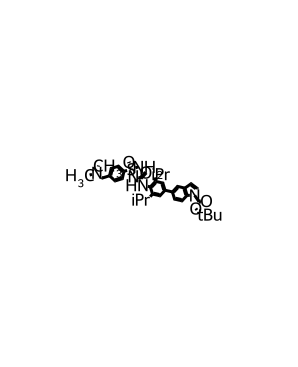 CC(C)c1cc(-c2ccc3c(ccn3C(=O)OC(C)(C)C)c2)cc(C(C)C)c1NC(=O)N=S(N)(=O)c1ccc(CN(C)C)cc1